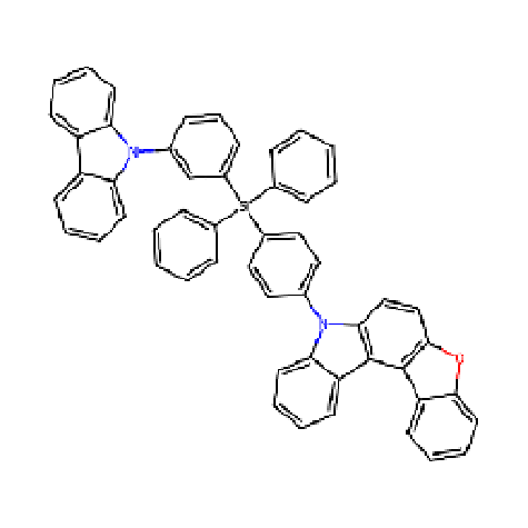 c1ccc([Si](c2ccccc2)(c2ccc(-n3c4ccccc4c4c5c(ccc43)oc3ccccc35)cc2)c2cccc(-n3c4ccccc4c4ccccc43)c2)cc1